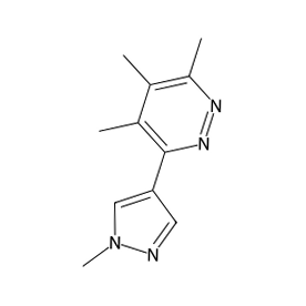 Cc1nnc(-c2cnn(C)c2)c(C)c1C